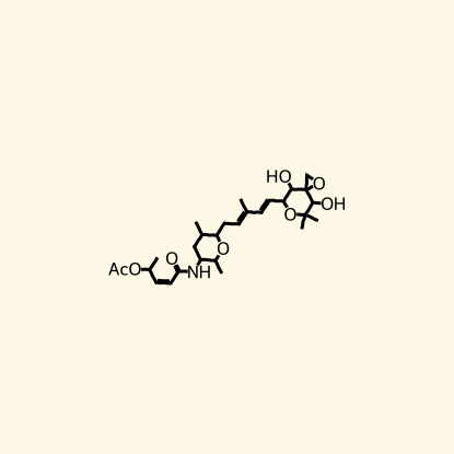 CC(=O)OC(C)/C=C\C(=O)NC1CC(C)C(C/C=C(C)/C=C/C2OC(C)(C)C(O)C3(CO3)C2O)OC1C